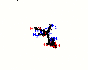 COP(=O)(O)OC[C@H]1O[C@@H](n2cnc3c(N)ncnc32)C[C@@H]1OP(=O)(O)OC[C@@H]1C[C@@H](O)CN1C(=O)CCCCCCCCC(=O)NC(COCCC(=O)NCCCN)(COCCC(=O)NCCCN)COCCC(=O)NCCCNC(=O)CCCCO